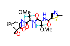 COC(F)(F)[C@@H](NC(=O)c1cnc(C)s1)C(=O)N[C@@H](C(=O)N[C@@H](CC(C)C)C(=O)[C@@]1(C)CO1)C(F)(F)OC